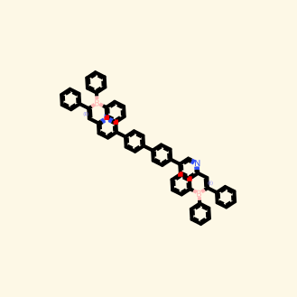 C(=C(/B(c1ccccc1)c1ccccc1)c1ccccc1)/c1ccc(-c2ccc(-c3ccc(-c4ccc(/C=C(\B(c5ccccc5)c5ccccc5)c5ccccc5)nc4)cc3)cc2)cn1